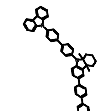 CC12CCCCC1(C)N(c1ccc(-c3ccc(-n4c5ccccc5c5ccccc54)cc3)cc1)c1ccc(-c3ccc(-c4ccccc4)cc3)cc12